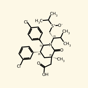 CC(C)[C@@H](C[S+]([O-])C(C)C)N1C(=O)[C@@](C)(CC(=O)O)C[C@H](c2cccc(Cl)c2)[C@H]1c1ccc(Cl)cc1